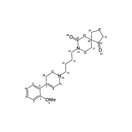 COc1ccccc1C1=CCN(CCCCN2CCC3(CCCC3=O)CC2=O)CC1